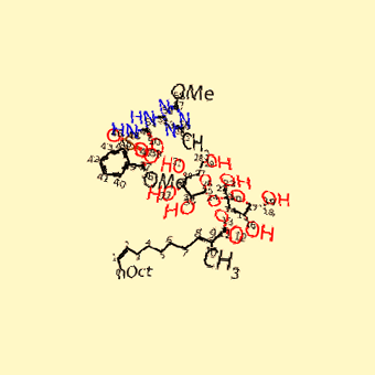 CCCCCCCC/C=C\CCCCCCC(C)C(=O)O[C@H]1[C@H](O)[C@@H](CO)O[C@@]1(CO)O[C@H]1O[C@H](CO)[C@@H](O)[C@H](O)[C@H]1O.COC(=O)c1ccccc1S(=O)(=O)NC(=O)Nc1nc(C)nc(OC)n1